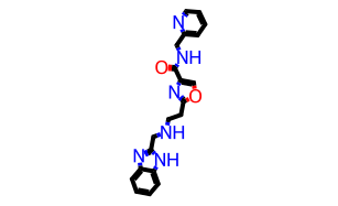 O=C(NCc1ccccn1)c1coc(CCNCc2nc3ccccc3[nH]2)n1